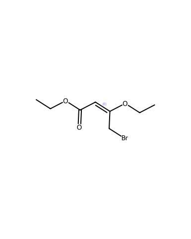 CCOC(=O)/C=C(\CBr)OCC